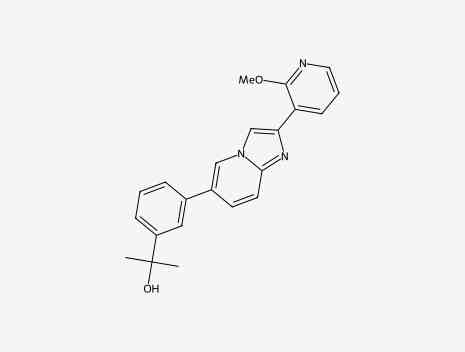 COc1ncccc1-c1cn2cc(-c3cccc(C(C)(C)O)c3)ccc2n1